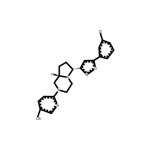 N#Cc1ccc(N2CCN3[C@@H](CC[C@@H]3c3cc(-c4cccc(Cl)c4)on3)C2)nc1